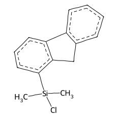 C[Si](C)(Cl)c1cccc2c1Cc1ccccc1-2